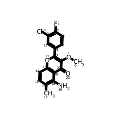 COc1c(-c2ccc(F)c(Cl)c2)oc2ccc(C)c(N)c2c1=O